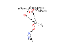 CCCCCC(CCCCC)CCOC(=O)CCCCCCCC(C)(CCCCCCCC(=O)OCCC(CCCCC)CCCCC)CC(=O)OCCCN1CCN(C)CC1